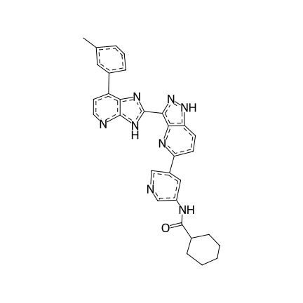 Cc1cccc(-c2ccnc3[nH]c(-c4n[nH]c5ccc(-c6cncc(NC(=O)C7CCCCC7)c6)nc45)nc23)c1